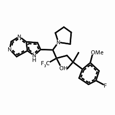 COc1cc(F)ccc1C(C)(C)CC(O)(C(c1cc2ncncc2[nH]1)N1CCCC1)C(F)(F)F